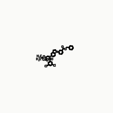 CC(C)(C)OC(=O)CN(c1ccc2c(ccn2-c2cccc(C(=O)OCc3ccccc3)c2)c1)S(=O)(=O)c1cc(Cl)cc(Cl)c1